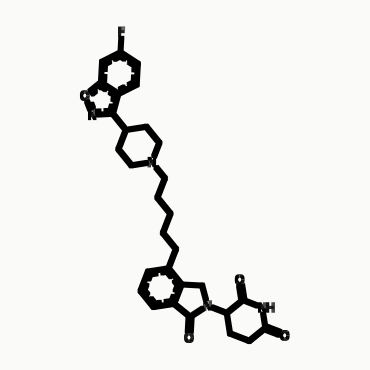 O=C1CCC(N2Cc3c(CCCCCN4CCC(c5noc6cc(F)ccc56)CC4)cccc3C2=O)C(=O)N1